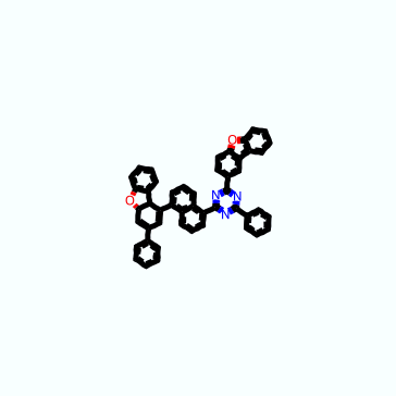 C1=C(c2ccccc2)C=C(c2cccc3c(-c4nc(-c5ccccc5)nc(-c5ccc6oc7ccccc7c6c5)n4)cccc23)C2c3ccccc3OC12